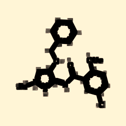 COc1ccc(Cl)cc1C(=O)N=c1sn(C(C)(C)C)cc1OCc1ccccc1